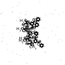 Cc1nn(-c2cc(C(=O)Oc3ccccc3)cc(C(=O)Oc3ccccc3)c2)c(N=Nc2c(C(C)(C)C)nn(-c3nc(O)nc(-n4nc(C(C)(C)C)c(N=Nc5c(C#N)c(C)nn5-c5cc(C(=O)Oc6ccccc6)cc(C(=O)Oc6ccccc6)c5)c4N)n3)c2N)c1C#N